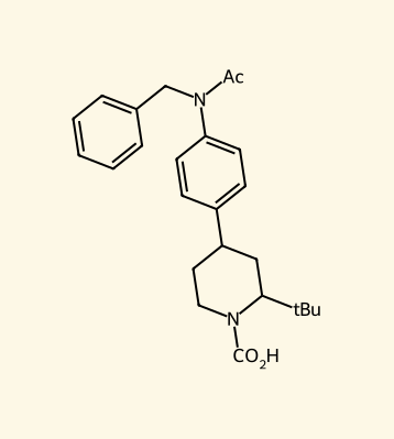 CC(=O)N(Cc1ccccc1)c1ccc(C2CCN(C(=O)O)C(C(C)(C)C)C2)cc1